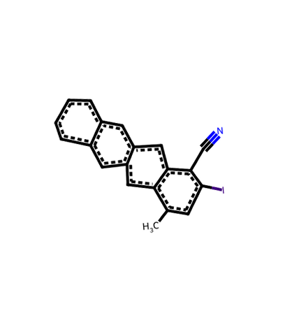 Cc1cc(I)c(C#N)c2cc3cc4ccccc4cc3cc12